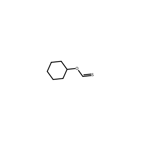 S=COC1CCCCC1